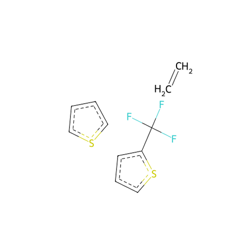 C=C.FC(F)(F)c1cccs1.c1ccsc1